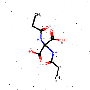 CCC(=O)NC(NC(=O)CC)(C(=O)O)C(=O)O